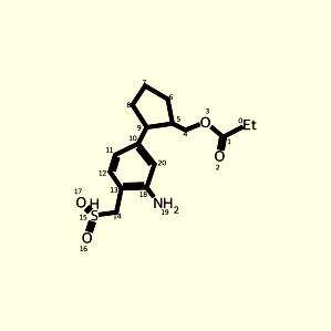 CCC(=O)OCC1CCCC1c1ccc(C[SH](=O)=O)c(N)c1